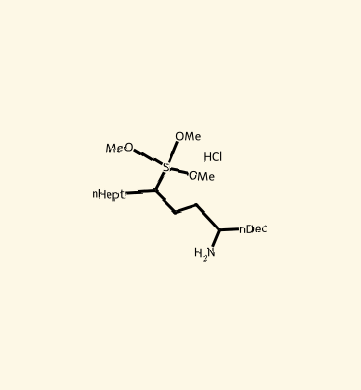 CCCCCCCCCCC(N)CCC(CCCCCCC)[Si](OC)(OC)OC.Cl